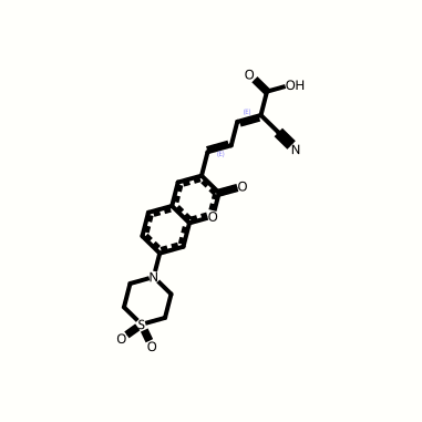 N#C/C(=C\C=C\c1cc2ccc(N3CCS(=O)(=O)CC3)cc2oc1=O)C(=O)O